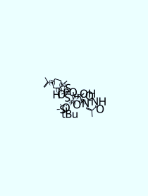 C=C(C)[C@@H]1CC[C@]2(C)SP(=S)(O[C@H]3[C@@H](O)[C@H](n4cc(C)c(=O)[nH]c4=O)O[C@@H]3CO[Si](C)(C)C(C)(C)C)O[C@H]2C1